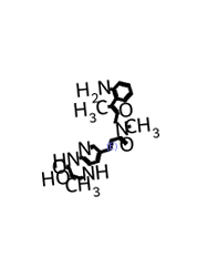 Cc1c(CN(C)C(=O)/C=C/c2cnc3c(c2)NCC(C)(O)C(=O)N3)oc2cccc(N)c12